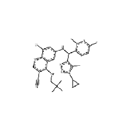 Cc1nc(F)ccc1[C@H](Nc1cc(Cl)c2ncc(C#N)c(NCC(C)(C)C)c2c1)c1nnn(C2CC2)c1C